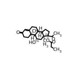 CCC(=O)O[C@@]1(C(C)=O)CC[C@H]2[C@@H]3CCC4=CC(=O)CC[C@]4(C)[C@H]3[C@@H](O)C[C@@]21C